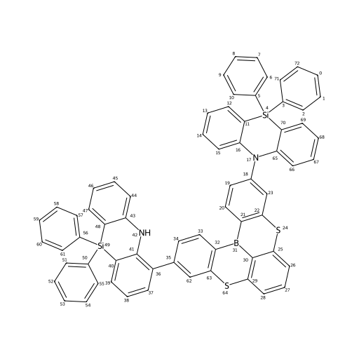 c1ccc([Si]2(c3ccccc3)c3ccccc3N(c3ccc4c(c3)Sc3cccc5c3B4c3ccc(-c4cccc6c4Nc4ccccc4[Si]6(c4ccccc4)c4ccccc4)cc3S5)c3ccccc32)cc1